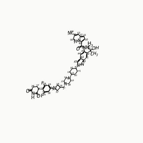 CC(C)(O)c1cc2nn([C@H]3CC[C@H](N4CCN(CC5CN(c6cc(F)c([C@H]7CCC(=O)NC7=O)c(F)c6)C5)CC4)CC3)cc2cc1NC(=O)c1ccc2cc(C#N)cnn12